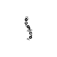 N#Cc1ccc(CN2CCC(NC(=O)c3cc4ccc(OC5CCN(c6ccc(C(F)(F)F)cc6)CC5)cc4s3)CC2)cc1